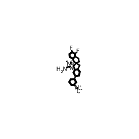 [C-]#[N+]c1cccc(-c2ccc3c(c2)C2(N=C(N)N(C)O2)C2(CCc4c(ccc(F)c4F)C2)C3)c1